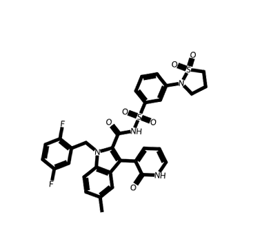 Cc1ccc2c(c1)c(-c1ccc[nH]c1=O)c(C(=O)NS(=O)(=O)c1cccc(N3CCCS3(=O)=O)c1)n2Cc1cc(F)ccc1F